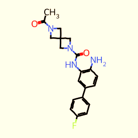 CC(=O)N1CC2(C1)CN(C(=O)Nc1cc(-c3ccc(F)cc3)ccc1N)C2